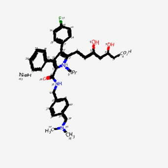 CC(C)n1c(CCC(O)CC(O)CC(=O)O)c(-c2ccc(F)cc2)c(-c2ccccc2)c1C(=O)NCc1ccc(CN(C)C)cc1.[NaH]